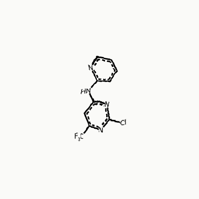 FC(F)(F)c1cc(Nc2ccccn2)nc(Cl)n1